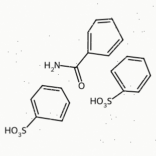 NC(=O)c1ccccc1.O=S(=O)(O)c1ccccc1.O=S(=O)(O)c1ccccc1